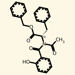 CC(=O)N(C(=O)c1ccccc1O)[C@@H](Cc1ccccc1)C(=O)OCc1ccccc1